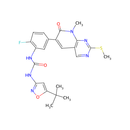 CSc1ncc2cc(-c3ccc(F)c(NC(=O)Nc4cc(C(C)(C)C)on4)c3)c(=O)n(C)c2n1